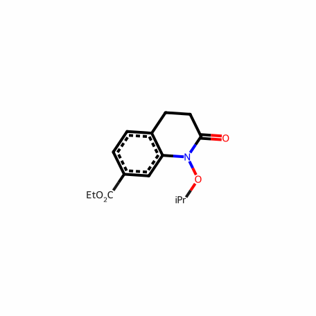 CCOC(=O)c1ccc2c(c1)N(OC(C)C)C(=O)CC2